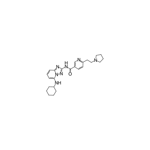 O=C(Nc1nc2cccc(NC3CCCCC3)n2n1)c1ccc(CCN2CCCC2)nc1